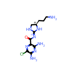 NCCC[C@@H]1CN/C(=N\C(=O)c2nc(Cl)c(N)nc2N)N1